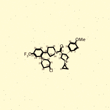 COc1ccc([C@@H]2CN(C3CC3)C[C@H]2C(=O)N2CCC(c3ccc(C(F)(F)F)cc3N3CCC(Cl)CC3)CC2)cc1